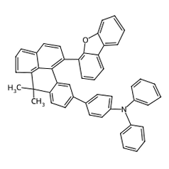 CC1(C)c2ccc(-c3ccc(N(c4ccccc4)c4ccccc4)cc3)cc2-c2c(-c3cccc4c3oc3ccccc34)ccc3cccc1c23